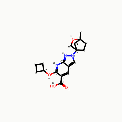 CC12CCC(n3cc4cc(C(=O)O)c(OC5CCC5)nc4n3)(CO1)C2